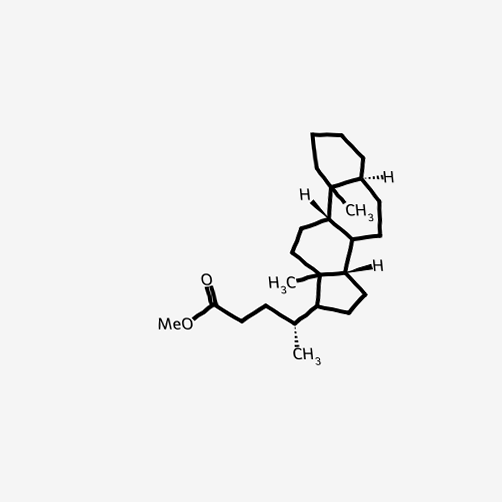 COC(=O)CC[C@@H](C)C1CC[C@H]2C3CC[C@@H]4CCCCC4(C)[C@H]3CCC12C